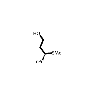 CCC[C@@H](CCO)SC